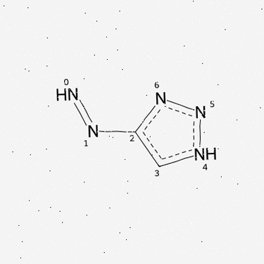 N=Nc1c[nH]nn1